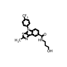 Cc1nc2c3cc(C(=O)NCCCO)ccc3n(-c3ccc(C(F)(F)F)cc3)c2s1